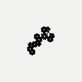 CC1(C)c2cc3c(cc2-c2c1ccc1ccccc21)C(C)(C)c1cc(-c2nc(-c4cccc5ccsc45)nc(-c4cccc5ccsc45)n2)c2ccccc2c1-3